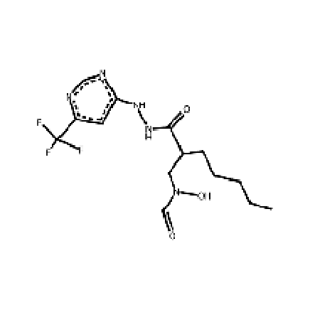 CCCCCC(CN(O)C=O)C(=O)NNc1cc(C(F)(F)F)ncn1